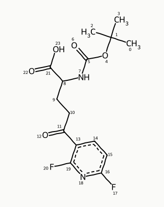 CC(C)(C)OC(=O)NC(CCC(=O)c1ccc(F)nc1F)C(=O)O